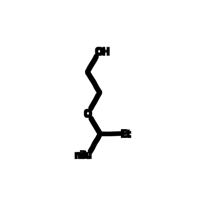 CCCCC(CC)OCCO